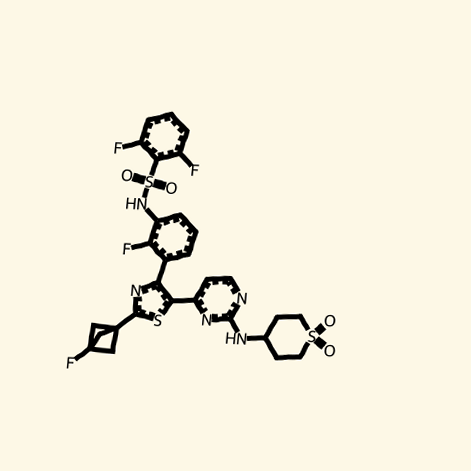 O=S1(=O)CCC(Nc2nccc(-c3sc(C45CC(F)(C4)C5)nc3-c3cccc(NS(=O)(=O)c4c(F)cccc4F)c3F)n2)CC1